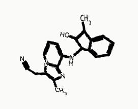 Cc1nc2c(NC3c4ccccc4C(C)C3O)cccn2c1CC#N